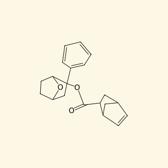 O=C(OC1(c2ccccc2)CC2CCC1O2)C1CC2C=CC1C2